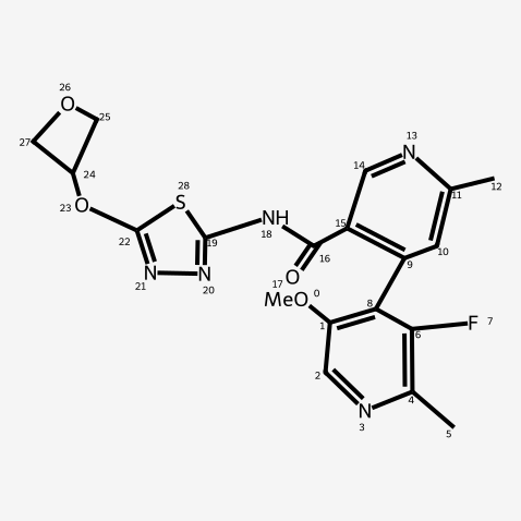 COc1cnc(C)c(F)c1-c1cc(C)ncc1C(=O)Nc1nnc(OC2COC2)s1